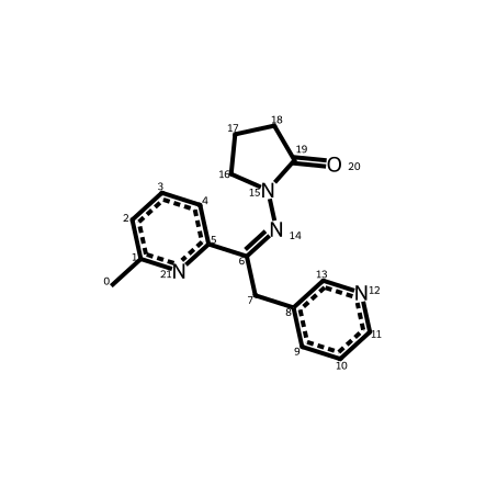 Cc1cccc(C(Cc2cccnc2)=NN2CCCC2=O)n1